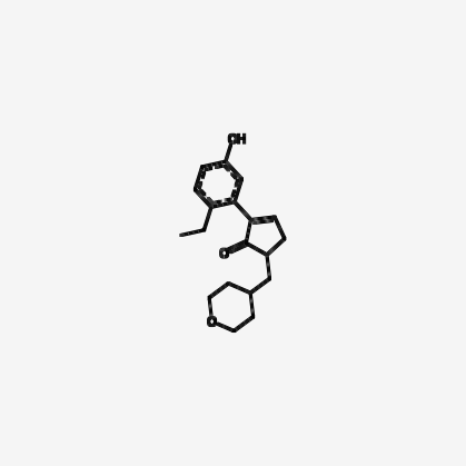 CCc1ccc(O)cc1C1=CCC(CC2CCOCC2)C1=O